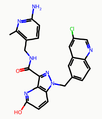 Cc1nc(N)ccc1CNC(=O)c1nn(Cc2ccc3ncc(Cl)cc3c2)c2ccc(O)nc12